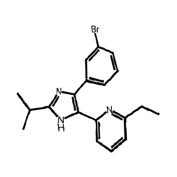 CCc1cccc(-c2[nH]c(C(C)C)nc2-c2cccc(Br)c2)n1